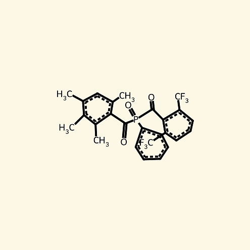 Cc1cc(C)c(C(=O)P(=O)(C(=O)c2c(C(F)(F)F)cccc2C(F)(F)F)c2ccccc2)c(C)c1C